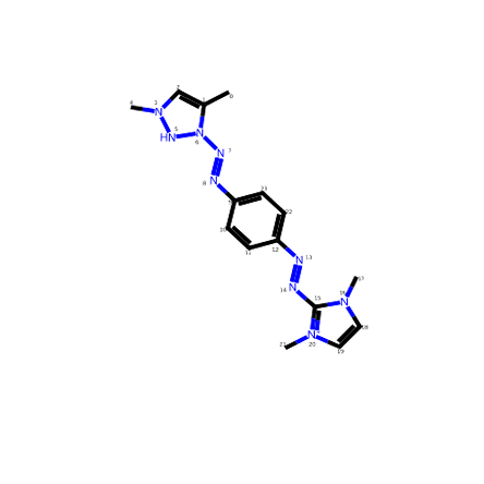 CC1=CN(C)NN1N=Nc1ccc(N=Nc2n(C)cc[n+]2C)cc1